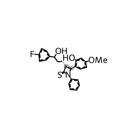 COc1ccc([C@@H]2[C@@H](CCC(O)c3ccc(F)cc3)C(=S)N2c2ccccc2)c(O)c1